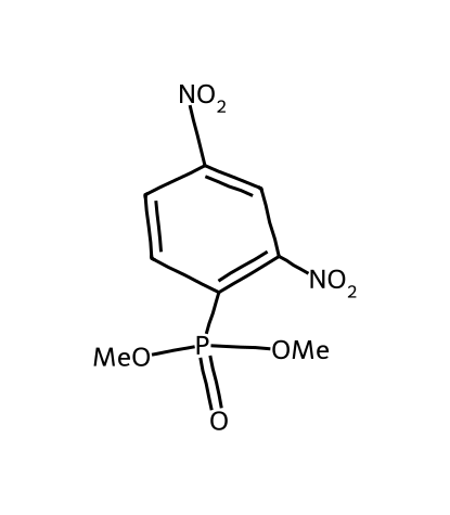 COP(=O)(OC)c1ccc([N+](=O)[O-])cc1[N+](=O)[O-]